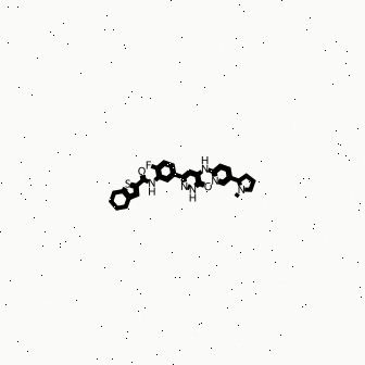 CN1CCCC1c1ccc(Nc2cc(-c3ccc(F)c(NC(=O)c4cc5c(s4)CCCC5)c3)n[nH]c2=O)nc1